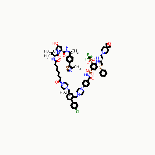 Cc1ncsc1-c1ccc([C@H](C)NC(=O)[C@@H]2C[C@@H](O)CN2C(=O)[C@@H](NC(=O)CCCCCCC(=O)N2CCN(C[C@]3(C)CCC(c4ccc(Cl)cc4)=C(CN4CCN(c5ccc(C(=O)NS(=O)(=O)c6ccc(N[C@H](CCN7CCC8(CC7)COC8)CSc7ccccc7)c(S(=O)(=O)C(F)(F)F)c6)cc5)CC4)C3)CC2)C(C)(C)C)cc1